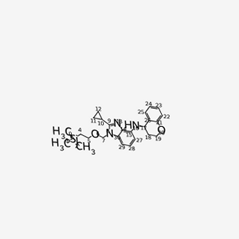 C[Si](C)(C)CCOCn1c(C2CC2)nc2c(N[C@@H]3CCOc4ccccc43)cccc21